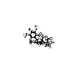 Bc1c(N)c2c(c(B)c1F)C(=O)N([C@]1(B)C(=O)NC(=O)C(B)(O)C1(B)B)C2(B)O